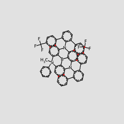 C[Si]1(c2ccccc2)c2cccc3c2B2c4c(cccc4N(c4c(-c5ccccc5)cccc4-c4ccc(C(F)(F)F)cc4)c4cccc1c42)N3c1c(-c2ccccc2)cccc1-c1ccc(C(F)(F)F)cc1